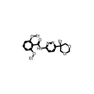 CCOc1cccc(OCC)c1C(=O)Nc1ccc(C2(CC)COCOC2)nn1